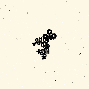 CC(C)(C)OC[C@H](NC(=O)OC(C)(C)C)c1noc([C@H](CC(=O)NC(c2ccccc2)(c2ccccc2)c2ccccc2)NC(=O)NOC(=O)C2CC2)n1